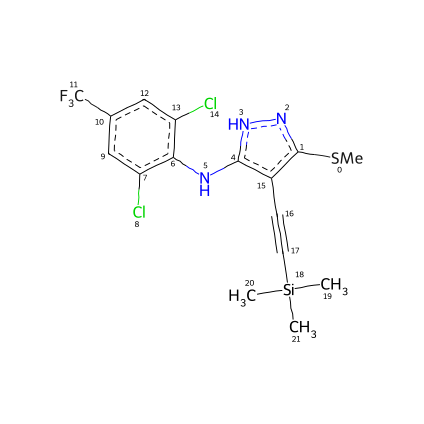 CSc1n[nH]c(Nc2c(Cl)cc(C(F)(F)F)cc2Cl)c1C#C[Si](C)(C)C